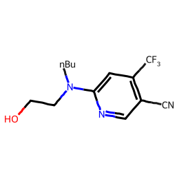 CCCCN(CCO)c1cc(C(F)(F)F)c(C#N)cn1